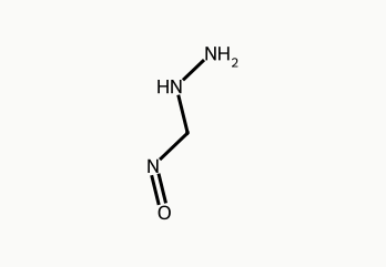 NNCN=O